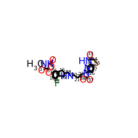 CNC(=O)C(OC=O)Oc1cc(F)c2c(c1)CC(CNCCC1CN(c3ccc4c(n3)NC(=O)CS4)C(=O)O1)C2